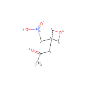 CC(=O)CC1(C[N+](=O)[O-])COC1